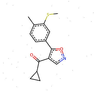 CSc1cc(-c2oncc2C(=O)C2CC2)ccc1C